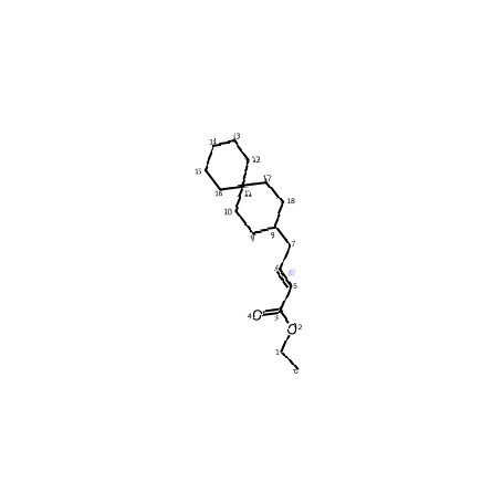 CCOC(=O)/C=C/CC1CCC2(CCCCC2)CC1